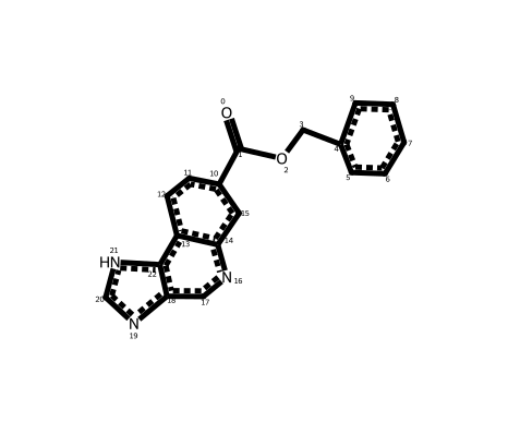 O=C(OCc1ccccc1)c1ccc2c(c1)ncc1nc[nH]c12